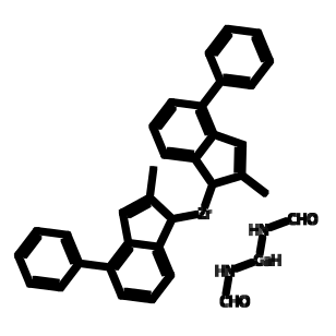 CC1=Cc2c(-c3ccccc3)cccc2[CH]1[Zr][CH]1C(C)=Cc2c(-c3ccccc3)cccc21.O=C[NH][GaH][NH]C=O